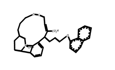 CO[N+]12CC3CCCOCC/C=C(\C(=O)O)C(CCCOc4cccc5ccccc45)C4=CC=CC(C(C3)C1)C42